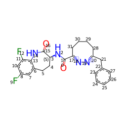 O=C(N[C@H]1CCc2cc(F)cc(F)c2NC1=O)/C1=N/N=C(/Cc2ccccc2)CCCC1